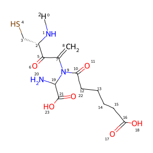 [2H]N[C@@H](CS)C(=O)C(=C)N(C(=O)CCCCC(=O)O)C(N)C(=O)O